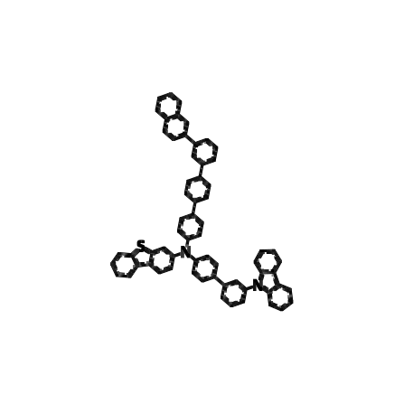 c1cc(-c2ccc(-c3ccc(N(c4ccc(-c5cccc(-n6c7ccccc7c7ccccc76)c5)cc4)c4ccc5c(c4)sc4ccccc45)cc3)cc2)cc(-c2ccc3ccccc3c2)c1